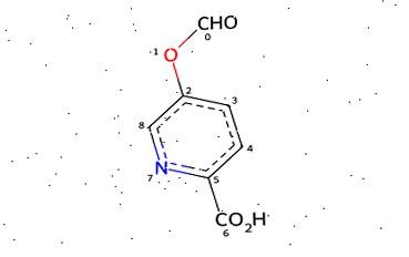 O=COc1ccc(C(=O)O)nc1